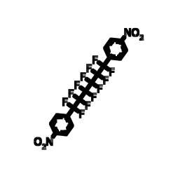 O=[N+]([O-])c1ccc(C(F)(F)C(F)(F)C(F)(F)C(F)(F)C(F)(F)C(F)(F)c2ccc([N+](=O)[O-])cc2)cc1